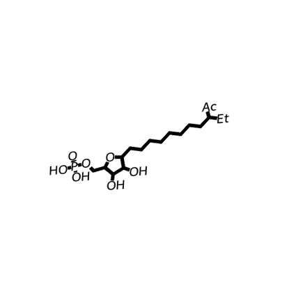 CCC(CCCCCCCCC1OC(COP(=O)(O)O)C(O)C1O)C(C)=O